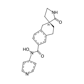 O=C(c1ccc2c(c1)CC[C@]1(CCNC1=O)C2)N(O)c1ccncc1